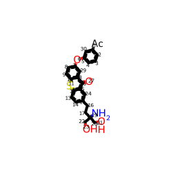 CC(=O)c1cccc(Oc2ccc3sc4ccc(CCC(N)(CO)CO)cc4c(=O)c3c2)c1